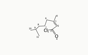 CC(=CC(=O)Cl)CCCC(C)C